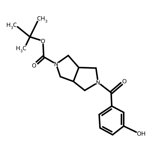 CC(C)(C)OC(=O)N1CC2CN(C(=O)c3cccc(O)c3)CC2C1